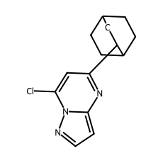 Clc1cc(C2CC3CCC2CC3)nc2ccnn12